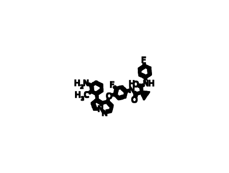 Cc1c(N)cccc1-c1ccn2nccc(Oc3ccc(NC(=O)C4(C(=O)Nc5ccc(F)cc5)CC4)cc3F)c12